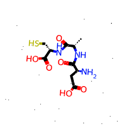 C[C@H](NC(=O)[C@@H](N)CC(=O)O)C(=O)N[C@@H](CS)C(=O)O